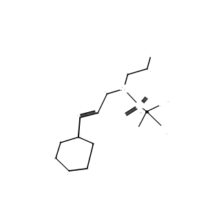 O=S(=O)(N(CC=CC1CCCCC1)CCBr)C(F)(F)F